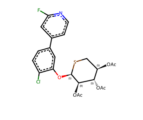 CC(=O)O[C@@H]1[C@@H](OC(C)=O)[C@@H](Oc2cc(-c3ccnc(F)c3)ccc2Cl)SC[C@H]1OC(C)=O